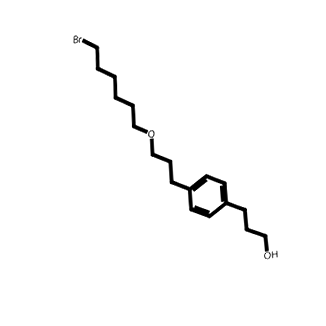 OCCCc1ccc(CCCOCCCCCCBr)cc1